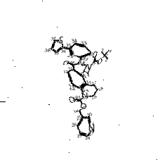 CC(C)(C)OC(=O)NN(C(=O)c1ccc2c(c1)CCCN2C(=O)OCc1cccnc1)c1cccc(-c2cccs2)c1